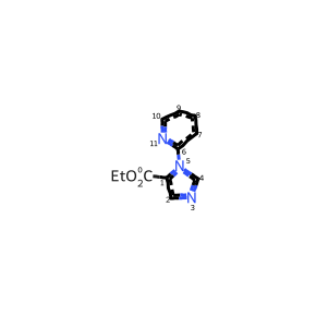 CCOC(=O)c1cncn1-c1ccccn1